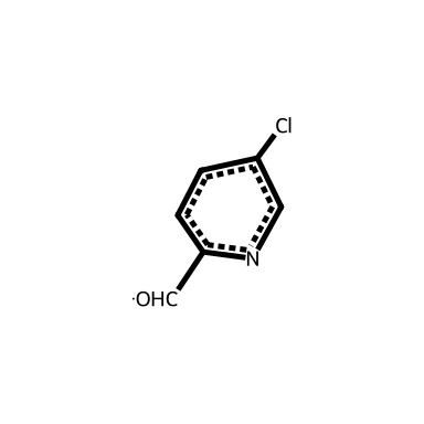 O=[C]c1ccc(Cl)cn1